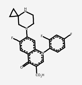 O=C(O)c1cn(-c2ccc(F)cc2F)c2cc(N3CCNC4(CC4)C3)c(F)cc2c1=O